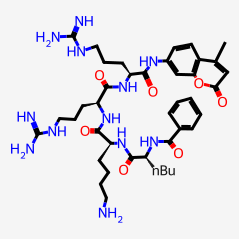 CCCC[C@H](NC(=O)c1ccccc1)C(=O)N[C@@H](CCCCN)C(=O)N[C@@H](CCCNC(=N)N)C(=O)N[C@@H](CCCNC(=N)N)C(=O)Nc1ccc2c(C)cc(=O)oc2c1